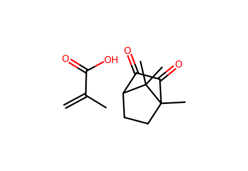 C=C(C)C(=O)O.CC12CCC(C(=O)C1=O)C2(C)C